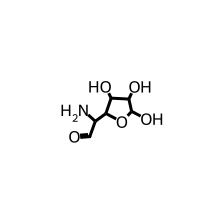 NC(C=O)C1OC(O)C(O)C1O